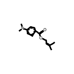 CC(C)=CCOC(=O)c1ccc(N(C)C)cc1